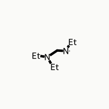 CC[N]CN(CC)CC